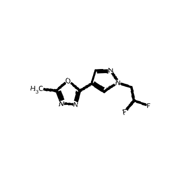 Cc1nnc(-c2cnn(CC(F)F)c2)o1